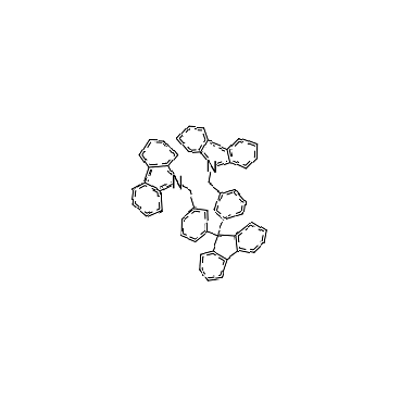 c1cc(Cn2c3ccccc3c3ccccc32)cc(C2(c3cccc(Cn4c5ccccc5c5ccccc54)c3)c3ccccc3-c3ccccc32)c1